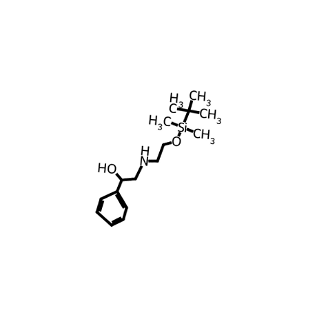 CC(C)(C)[Si](C)(C)OCCNCC(O)c1ccccc1